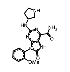 COc1ccccc1-n1c(=O)[nH]c2c(C(N)=O)nc(N[C@H]3CCNC3)nc21